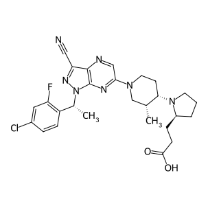 C[C@@H]1CN(c2cnc3c(C#N)nn([C@H](C)c4ccc(Cl)cc4F)c3n2)CC[C@@H]1N1CCC[C@H]1CCC(=O)O